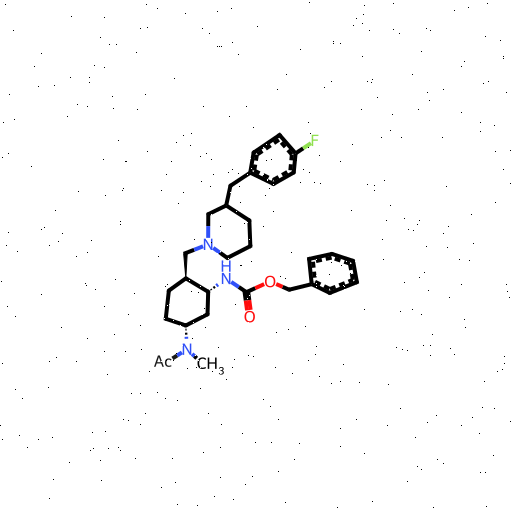 CC(=O)N(C)[C@@H]1CC[C@@H](CN2CCCC(Cc3ccc(F)cc3)C2)[C@H](NC(=O)OCc2ccccc2)C1